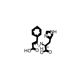 N[C@@H](Cc1c[nH]cn1)C(=O)O.O=C(O)C=Cc1ccccc1